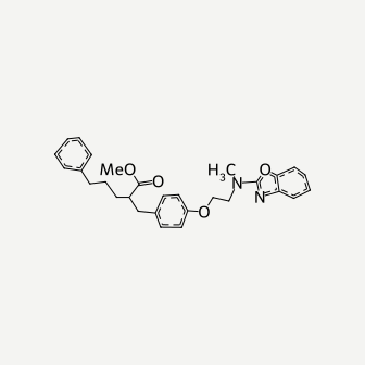 COC(=O)C(CCCc1ccccc1)Cc1ccc(OCCN(C)c2nc3ccccc3o2)cc1